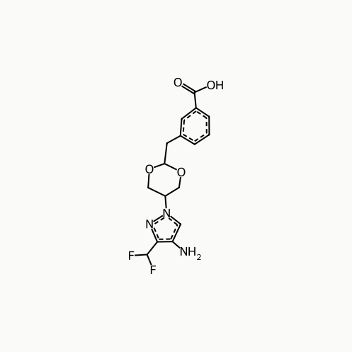 Nc1cn(C2COC(Cc3cccc(C(=O)O)c3)OC2)nc1C(F)F